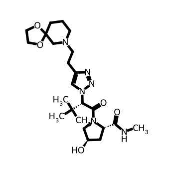 CNC(=O)[C@@H]1C[C@@H](O)CN1C(=O)[C@@H](n1cc(CCN2CCCC3(C2)OCCO3)nn1)C(C)(C)C